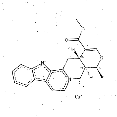 COC(=O)C1=CO[C@@H](C)[C@H]2C[n+]3ccc4c([n-]c5ccccc54)c3C[C@H]12.[Cu+2]